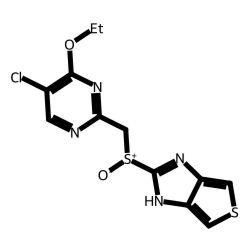 CCOc1nc(C[S+]([O-])c2nc3cscc3[nH]2)ncc1Cl